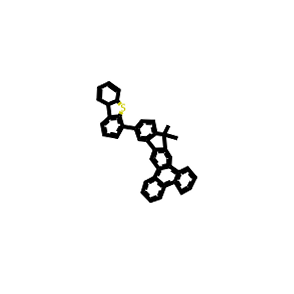 CC1(C)c2ccc(-c3cccc4c3SC3C=CC=CC43)cc2-c2cc3c4ccccc4c4ccccc4c3cc21